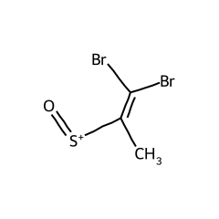 CC([S+]=O)=C(Br)Br